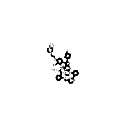 CCOC(=O)[C@@H](Cc1ccccc1OCc1ccnc(-c2ccccc2OCCO)n1)Oc1ncnc2sc(-c3ccc(F)cc3)c(-c3ccc(OCCN4CCN(C)CC4)c(Cl)c3C)c12